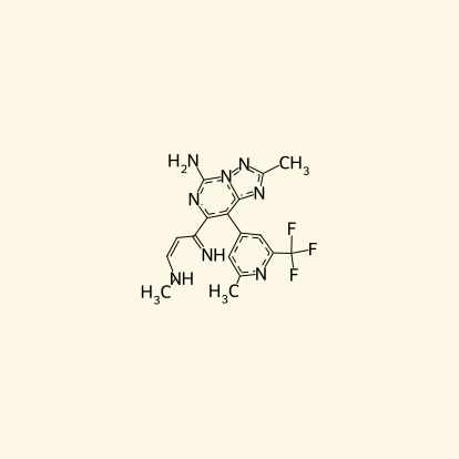 CN/C=C\C(=N)c1nc(N)n2nc(C)nc2c1-c1cc(C)nc(C(F)(F)F)c1